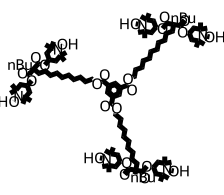 CCCCC(CCCCCCCCCCCOC(=O)c1cc(C(=O)OCCCCCCCCCCC(CCCC)(C(=O)OC2CC(C)(C)N(O)C(C)(C)C2)C(=O)OC2CC(C)(C)N(O)C(C)(C)C2)cc(C(=O)OCCCCCCCCCCC(CCCC)(C(=O)OC2CC(C)(C)N(O)C(C)(C)C2)C(=O)OC2CC(C)(C)N(O)C(C)(C)C2)c1)(C(=O)OC1CC(C)(C)N(O)C(C)(C)C1)C(=O)OC1CC(C)(C)N(O)C(C)(C)C1